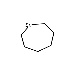 C1CCC[Se]CC1